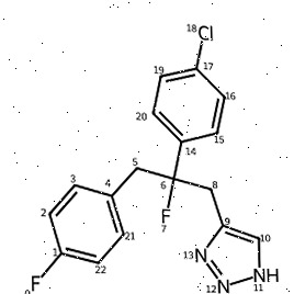 Fc1ccc(CC(F)(Cc2c[nH]nn2)c2ccc(Cl)cc2)cc1